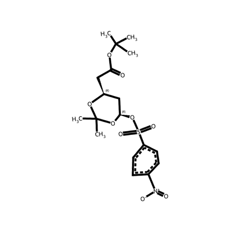 CC(C)(C)OC(=O)C[C@H]1C[C@@H](OS(=O)(=O)c2ccc([N+](=O)[O-])cc2)OC(C)(C)O1